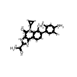 Cc1c(-c2cc(F)c(N)cc2F)ccc2c3oc(C(N)=O)nc3c(=O)n(C3CC3)c12